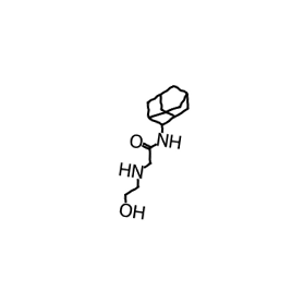 O=C(CNCCO)NC1C2CC3CC(C2)CC1C3